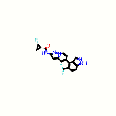 O=C(Nc1cc2cc(-c3c(C(F)F)ccc4[nH]ncc34)ccn2n1)[C@@H]1C[C@@H]1F